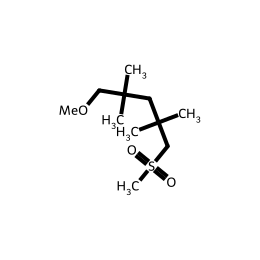 COCC(C)(C)CC(C)(C)CS(C)(=O)=O